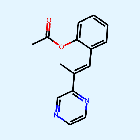 CC(=O)Oc1ccccc1C=C(C)c1cnccn1